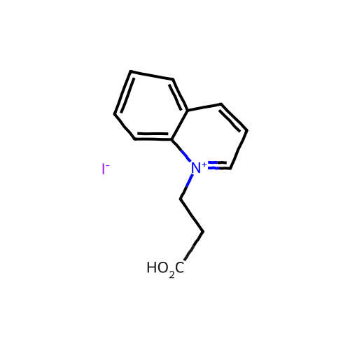 O=C(O)CC[n+]1cccc2ccccc21.[I-]